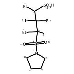 CCC(C(F)(F)C(C)(CC)S(=O)(=O)N1CCCC1)S(=O)(=O)O